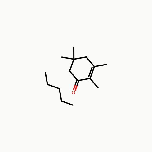 CC1=C(C)C(=O)CC(C)(C)C1.CCCCC